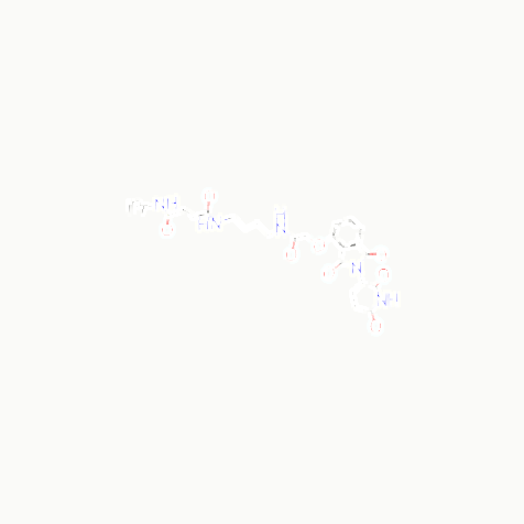 CC(C)NC(=O)CCC(=O)NCCCCNC(=O)COc1cccc2c1C(=O)N(C1CCC(=O)NC1=O)C2=O